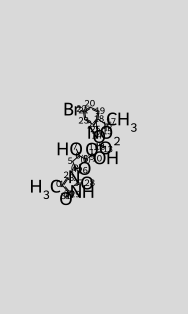 Cc1cn([C@H]2CC(O)[C@@H](C(O)OC(=O)OCC(C)c3ccc(Br)cc3[N+](=O)[O-])O2)c(=O)[nH]c1=O